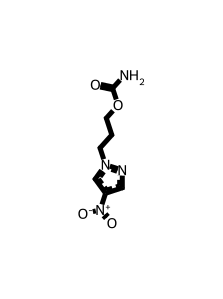 NC(=O)OCCCn1cc([N+](=O)[O-])cn1